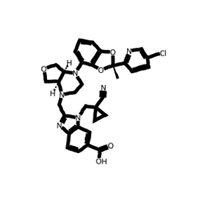 C[C@]1(c2ccc(Cl)cn2)Oc2cccc(N3CCN(Cc4nc5ccc(C(=O)O)cc5n4CC4(C#N)CC4)[C@H]4COC[C@H]43)c2O1